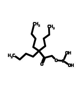 CCCCC(CCCC)(CCCC)C(=O)COB(O)O